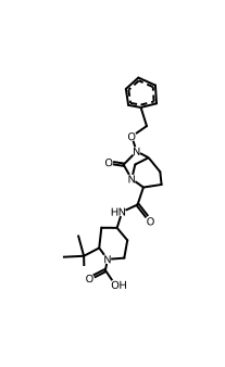 CC(C)(C)C1CC(NC(=O)C2CCC3CN2C(=O)N3OCc2ccccc2)CCN1C(=O)O